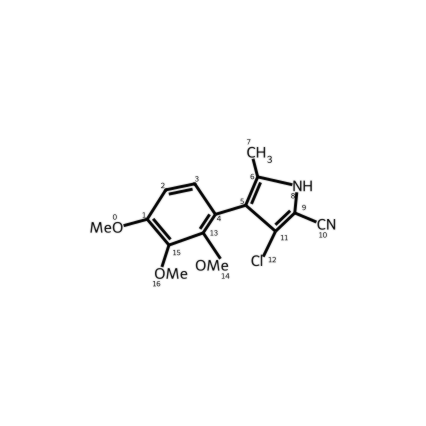 COc1ccc(-c2c(C)[nH]c(C#N)c2Cl)c(OC)c1OC